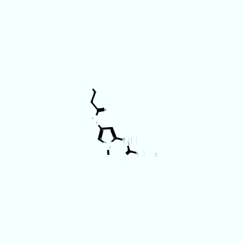 CCCCCC(=O)Nc1cc(NC(=O)CCO)cn1C